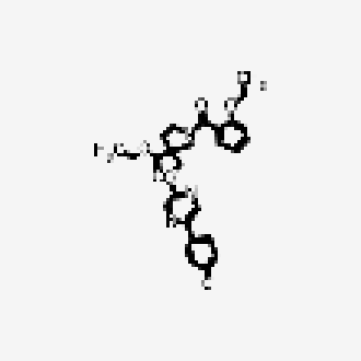 CCOC(=O)C1(COc2cnc(-c3ccc(Cl)cc3)cn2)CCN(C(=O)c2ccccc2OCC)C1